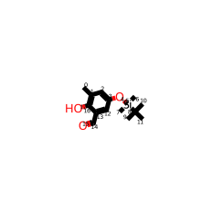 Cc1cc(O[Si](C)(C)C(C)(C)C)cc(C=O)c1O